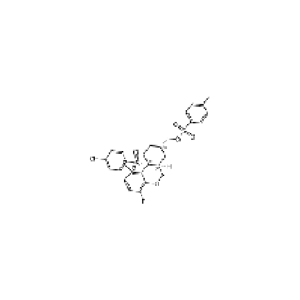 Cc1ccc(S(=O)(=O)OC[C@H]2CC[C@]3(S(=O)(=O)c4ccc(Cl)cc4)c4c(F)ccc(F)c4OC[C@@H]3C2)cc1